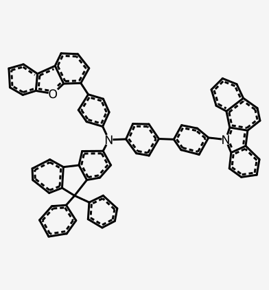 c1ccc(C2(c3ccccc3)c3ccccc3-c3cc(N(c4ccc(-c5ccc(-n6c7ccccc7c7ccc8ccccc8c76)cc5)cc4)c4ccc(-c5cccc6c5oc5ccccc56)cc4)ccc32)cc1